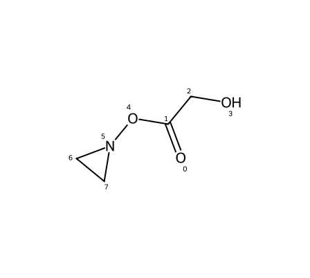 O=C(CO)ON1CC1